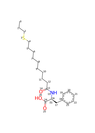 CCCSCCCCCCCCCC(=O)N[C@@H](Cc1ccccc1)C(=O)O